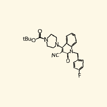 CC(C)(C)OC(=O)N1CCN(c2c(C#N)c(=O)n(Cc3ccc(F)cc3)c3ccccc23)CC1